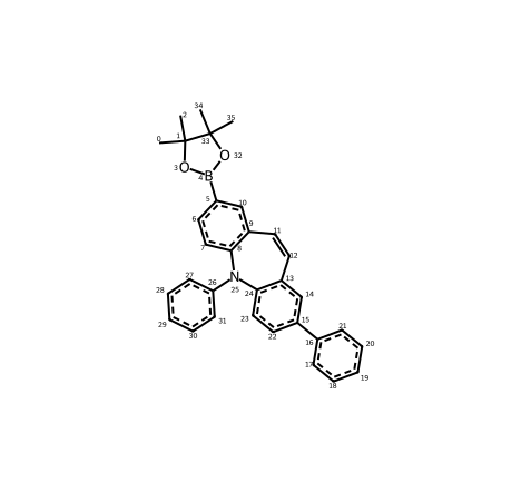 CC1(C)OB(c2ccc3c(c2)C=Cc2cc(-c4ccccc4)ccc2N3c2ccccc2)OC1(C)C